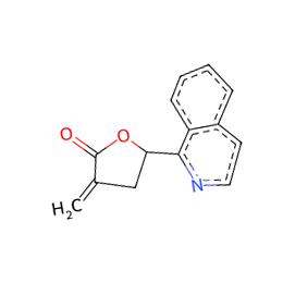 C=C1CC(c2nccc3ccccc23)OC1=O